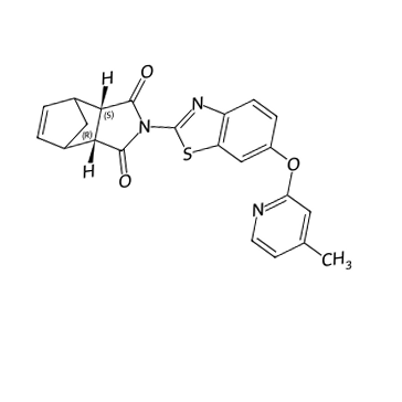 Cc1ccnc(Oc2ccc3nc(N4C(=O)[C@@H]5C6C=CC(C6)[C@@H]5C4=O)sc3c2)c1